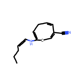 CCC/C=C\N/C1=C/C/C=C\C(C#N)=CC1